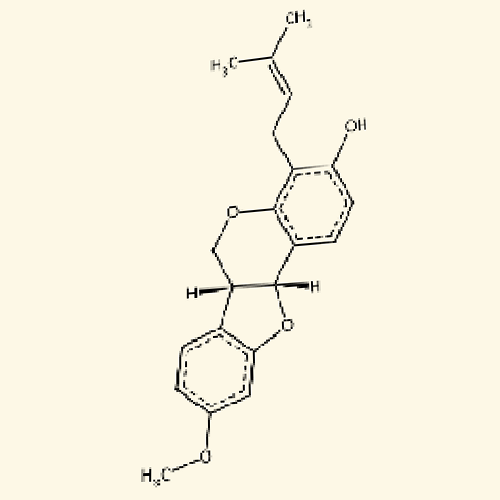 COc1ccc2c(c1)O[C@H]1c3ccc(O)c(CC=C(C)C)c3OC[C@@H]21